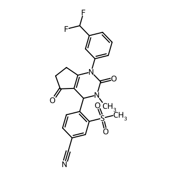 CN1C(=O)N(c2cccc(C(F)F)c2)C2=C(C(=O)CC2)C1c1ccc(C#N)cc1S(C)(=O)=O